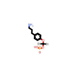 CCC(CC)(Oc1ccc(CCCN)cc1)O[PH](=O)O